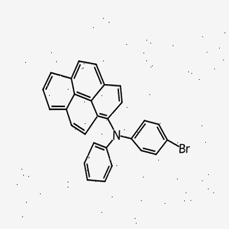 Brc1ccc(N(c2ccccc2)c2ccc3ccc4cccc5ccc2c3c45)cc1